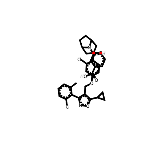 Cc1cccc(Cl)c1-c1noc(C2CC2)c1COc1ccc(C2(O)CC3CCC(C2)N3c2cc(C(=O)O)ccn2)c(Cl)c1